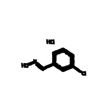 Cl.ON=Cc1cccc(Cl)c1